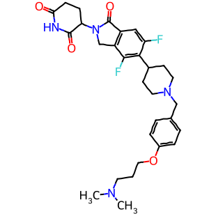 CN(C)CCCOc1ccc(CN2CCC(c3c(F)cc4c(c3F)CN(C3CCC(=O)NC3=O)C4=O)CC2)cc1